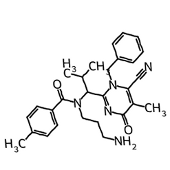 Cc1ccc(C(=O)N(CCCN)C(c2nc(=O)c(C)c(C#N)n2Cc2ccccc2)C(C)C)cc1